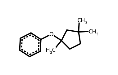 CC1(C)CCC(C)(Oc2ccccc2)C1